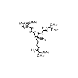 COC(OC)[SiH2]CCCCC([SiH3])(CCCC[SiH2]C(OC)OC)CCCC[SiH2]C(OC)OC